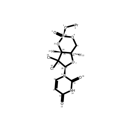 CC(C)O[P@@]1(=O)OC[C@H]2O[C@@H](n3ccc(=O)[nH]c3=O)C(Cl)(Cl)[C@@H]2O1